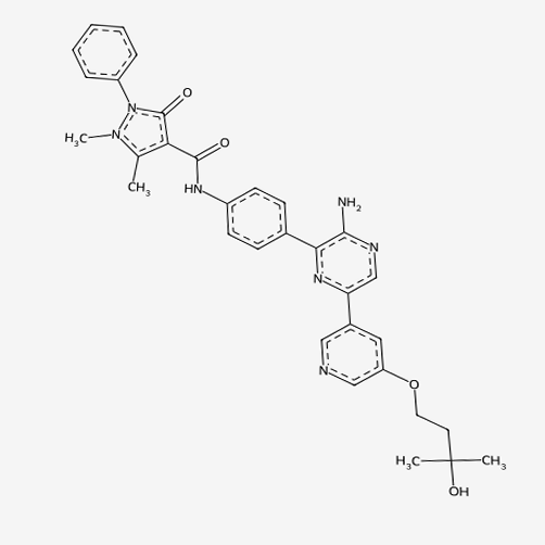 Cc1c(C(=O)Nc2ccc(-c3nc(-c4cncc(OCCC(C)(C)O)c4)cnc3N)cc2)c(=O)n(-c2ccccc2)n1C